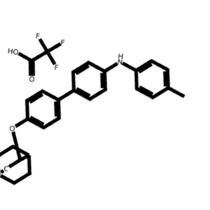 Cc1ccc(Nc2ccc(-c3ccc(OC4CN5CCC4CC5)cc3)cc2)cc1.O=C(O)C(F)(F)F